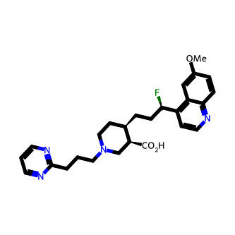 COc1ccc2nccc([C@H](F)CC[C@@H]3CCN(CCCc4ncccn4)C[C@@H]3C(=O)O)c2c1